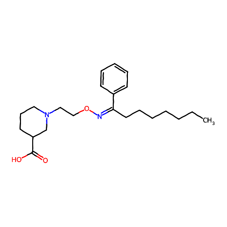 CCCCCCCC(=NOCCN1CCCC(C(=O)O)C1)c1ccccc1